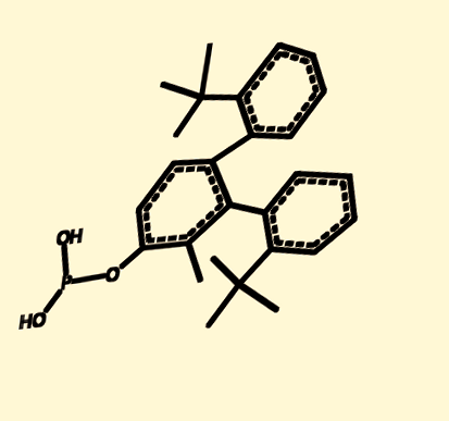 Cc1c(OP(O)O)ccc(-c2ccccc2C(C)(C)C)c1-c1ccccc1C(C)(C)C